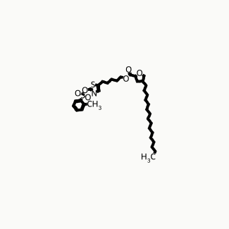 CCCCCCCCCCCCCCCCC1COC(C(=O)OCCCCCc2cnc(OS(=O)(=O)c3ccccc3C)s2)C1